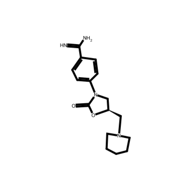 N=C(N)c1ccc(N2C[C@@H](CN3CCCCC3)OC2=O)cc1